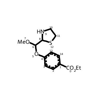 CCOC(=O)c1ccc(OC(OC)C2NCCS2)cc1